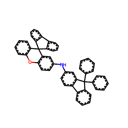 c1ccc(C2(c3ccccc3)c3ccccc3-c3ccc(Nc4ccc5c(c4)C4(c6ccccc6O5)c5ccccc5-c5ccccc54)cc32)cc1